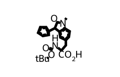 CN1C(=O)C(c2ccccc2)c2cc(CC(NC(=O)OC(C)(C)C)C(=O)O)ccc21